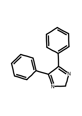 c1ccc(C2=NCN=C2c2ccccc2)cc1